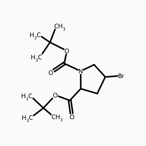 CC(C)(C)OC(=O)C1CC(Br)CN1C(=O)OC(C)(C)C